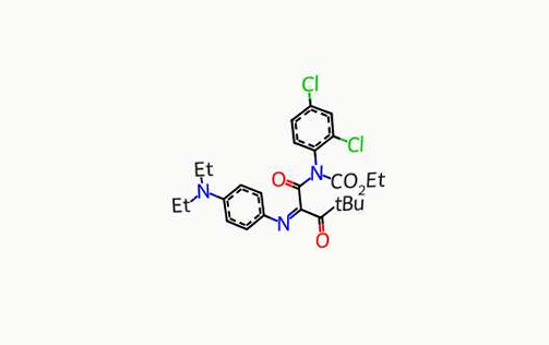 CCOC(=O)N(C(=O)/C(=N\c1ccc(N(CC)CC)cc1)C(=O)C(C)(C)C)c1ccc(Cl)cc1Cl